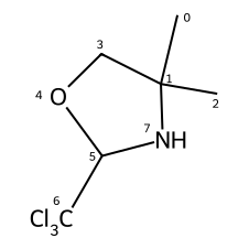 CC1(C)COC(C(Cl)(Cl)Cl)N1